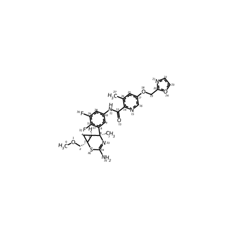 COC[C@]12C[C@H]1[C@@](C)(c1cc(NC(=O)c3ncc(OCc4ncco4)cc3C)cc(F)c1F)N=C(N)S2